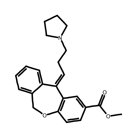 COC(=O)c1ccc2c(c1)/C(=C/CCN1CCCC1)c1ccccc1CO2